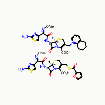 CO/N=C(\C(=O)N[C@@H]1C(=O)N2C(C(=O)O)=C(CSC(=O)c3ccco3)CS[C@H]12)c1csc(N)n1.CO/N=C(\C(=O)N[C@@H]1C(=O)N2C(C(=O)[O-])=C(C[n+]3cccc4c3CCCC4)CS[C@H]12)c1csc(N)n1